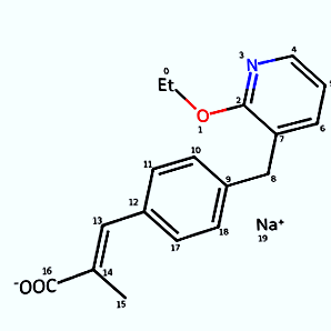 CCOc1ncccc1Cc1ccc(/C=C(\C)C(=O)[O-])cc1.[Na+]